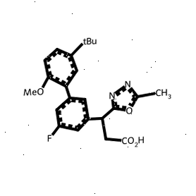 COc1ccc(C(C)(C)C)cc1-c1cc(F)cc(C(CC(=O)O)c2nnc(C)o2)c1